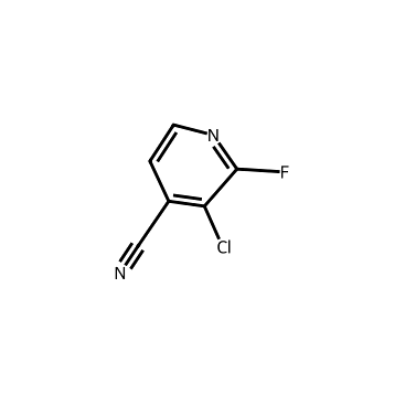 N#Cc1ccnc(F)c1Cl